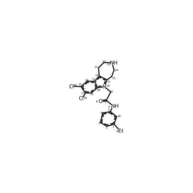 CCc1cccc(NC(=O)Cn2c3c(c4cc(Cl)c(Cl)cc42)CCNCC3)c1